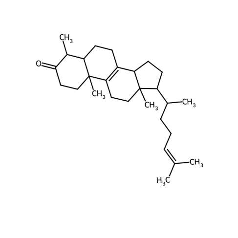 CC(C)=CCCC(C)C1CCC2C3=C(CCC21C)C1(C)CCC(=O)C(C)C1CC3